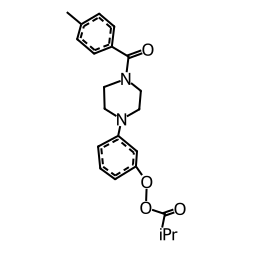 Cc1ccc(C(=O)N2CCN(c3cccc(OOC(=O)C(C)C)c3)CC2)cc1